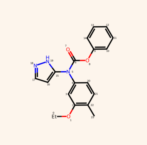 CCOc1cc(N(C(=O)Oc2ccccc2)c2ccn[nH]2)ccc1C